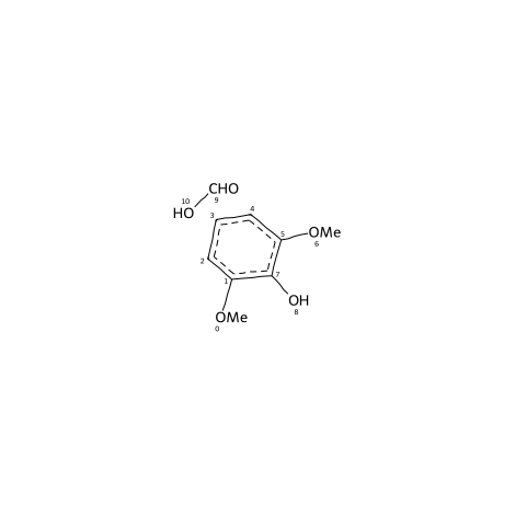 COc1cccc(OC)c1O.O=CO